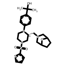 CC(C)(O)c1ccc(N2CCN(S(=O)(=O)c3cccs3)C[C@H]2CN2CC3CCC(C2)O3)cc1